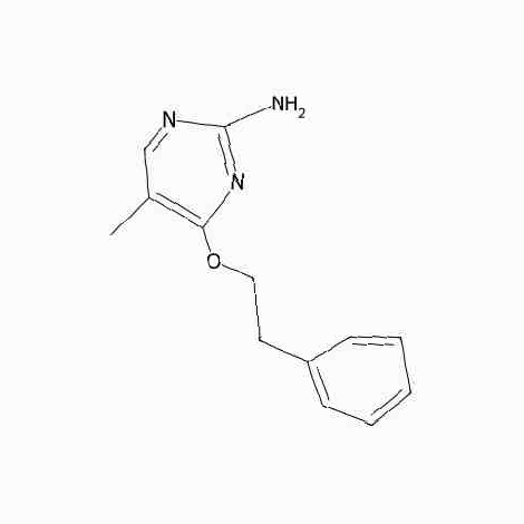 Cc1cnc(N)nc1OCCc1ccccc1